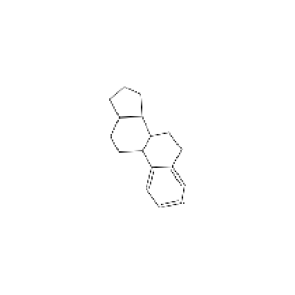 [c]1ccc2c(c1)CCC1C2CCC2CCCC21